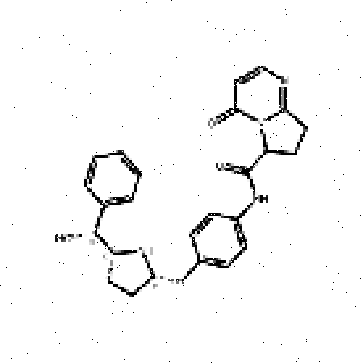 O=C(Nc1ccc(C[C@@H]2CC[C@H]([C@H](O)c3ccccc3)N2)cc1)C1CCc2nccc(=O)n21